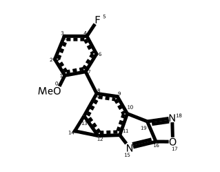 COc1ccc(F)cc1-c1cc2c(c3c1C3)N=C1ON=C12